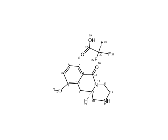 COc1cccc2c1C[C@@H]1CNCCN1C2=O.O=C(O)C(F)(F)F